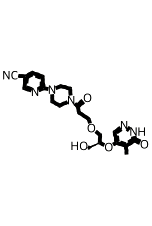 Cc1c(O[C@@H](CO)COCCC(=O)N2CCN(c3ccc(C#N)cn3)CC2)cn[nH]c1=O